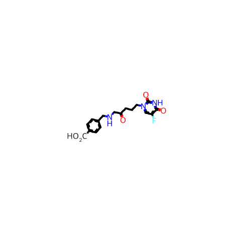 O=C(CCCn1cc(F)c(=O)[nH]c1=O)CNCc1ccc(C(=O)O)cc1